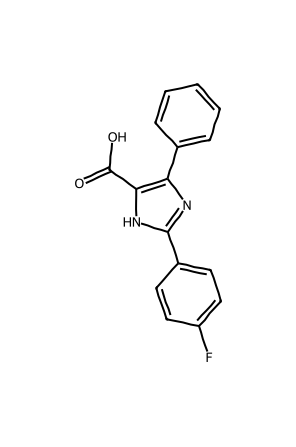 O=C(O)c1[nH]c(-c2ccc(F)cc2)nc1-c1ccccc1